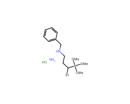 CCC(CCNCc1ccccc1)[Si](OC)(OC)OC.Cl.N